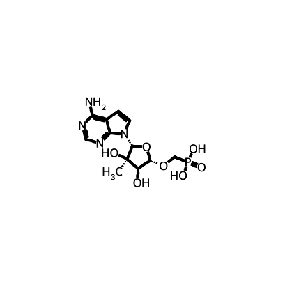 C[C@@]1(O)C(O)[C@@H](OCP(=O)(O)O)O[C@H]1n1ccc2c(N)ncnc21